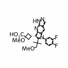 COCC(C)(C)c1c([C@H]2C[C@](OC)(C(=O)O)C2)c2nc3[nH]ncc3cc2n1-c1ccc(F)c(F)c1